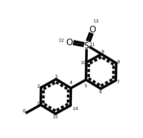 Cc1ccc(-c2cccc3c2S3(=O)=O)cc1